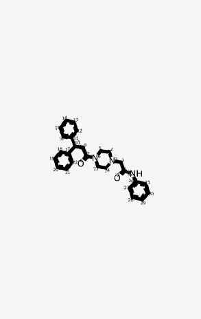 O=C(CN1CCN(C(=O)CC(c2ccccc2)c2ccccc2)CC1)Nc1ccccc1